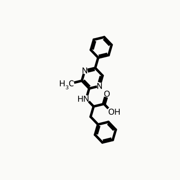 Cc1nc(-c2ccccc2)cnc1NC(Cc1ccccc1)C(=O)O